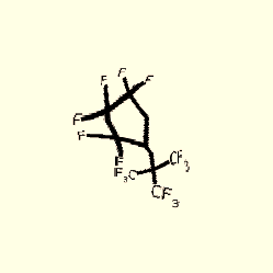 FC(F)(F)C(C1CC(F)(F)C(F)(F)C1(F)F)(C(F)(F)F)C(F)(F)F